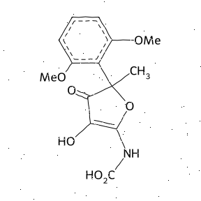 COc1cccc(OC)c1C1(C)OC(NC(=O)O)=C(O)C1=O